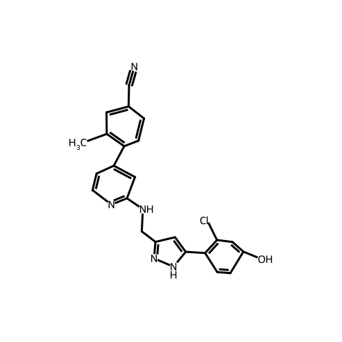 Cc1cc(C#N)ccc1-c1ccnc(NCc2cc(-c3ccc(O)cc3Cl)[nH]n2)c1